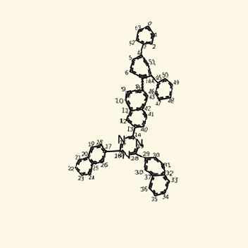 c1ccc(-c2ccc(-c3ccc4cc(-c5nc(-c6ccc7ccccc7c6)nc(-c6ccc7ccccc7c6)n5)ccc4c3)c(-c3ccccc3)c2)cc1